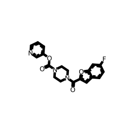 O=C(Oc1cccnc1)N1CCN(C(=O)c2cc3ccc(F)cc3o2)CC1